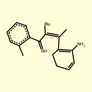 CCC(C)/C(C(=N)c1ccccc1C)=C(\C)C1=C(N)C=CCC1